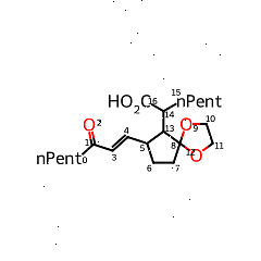 CCCCCC(=O)/C=C/C1CCC2(OCCO2)C1C(CCCCC)C(=O)O